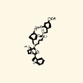 COc1ccc(CNS(=O)(=O)CCCN(Cc2ccc(Cl)cc2)C(=O)C2(C)CCN2C(=O)c2csc3ccccc23)c(OC)c1